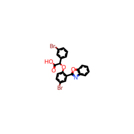 O=C(O)C(Oc1ccc(Br)cc1-c1nc2ccccc2o1)c1cccc(Br)c1